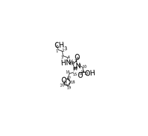 CCCCCN[C@@H]1C(=O)N(CC(=O)O)[C@@H]1CCc1ccco1